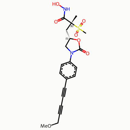 COCC#CC#Cc1ccc(N2C[C@H](C[C@](C)(C(=O)NO)S(C)(=O)=O)OC2=O)cc1